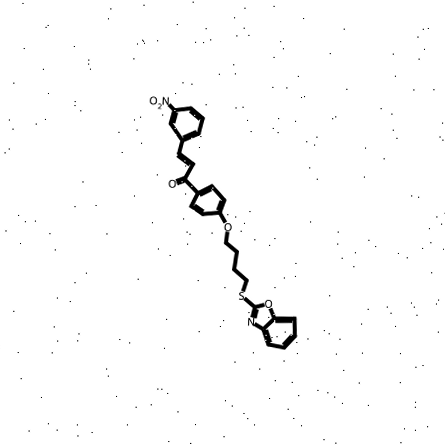 O=C(C=Cc1cccc([N+](=O)[O-])c1)c1ccc(OCCCCSc2nc3ccccc3o2)cc1